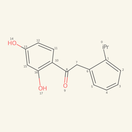 CC(C)c1ccccc1CC(=O)c1ccc(O)cc1O